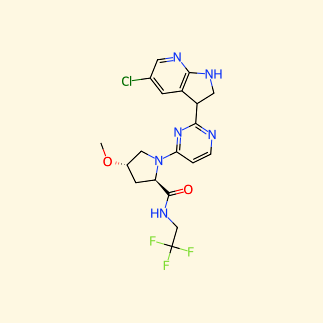 CO[C@H]1C[C@H](C(=O)NCC(F)(F)F)N(c2ccnc(C3CNc4ncc(Cl)cc43)n2)C1